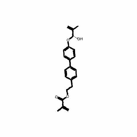 C=C(C)C(=O)OCCc1ccc(-c2ccc(O[C@@H](O)C(=C)C)cc2)cc1